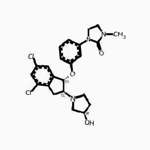 CN1CCN(c2cccc(O[C@H]3c4cc(Cl)cc(Cl)c4C[C@@H]3N3CC[C@@H](O)C3)c2)C1=O